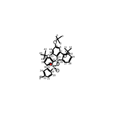 CC(C)(C)Oc1cc(OC(C)(C)C)c(S(OS(=O)(=O)c2ccc(F)cc2)(c2ccccc2)c2ccccc2)c(OC(C)(C)C)c1